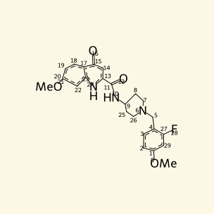 COc1ccc(CN2CCC(NC(=O)c3cc(=O)c4ccc(OC)cc4[nH]3)CC2)c(F)c1